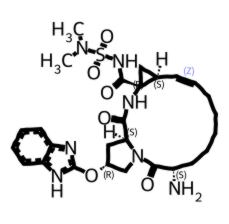 CN(C)S(=O)(=O)NC(=O)[C@@]12C[C@H]1/C=C\CCCCC[C@H](N)C(=O)N1C[C@H](Oc3nc4ccccc4[nH]3)C[C@H]1C(=O)N2